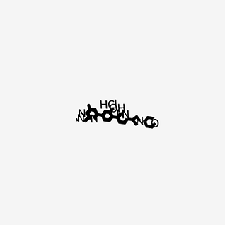 Cc1cc(-c2ccc(-c3ccc(C4CN(C5CCOCC5)C4)nn3)c(O)c2)nc2cn(C)nc12.Cl